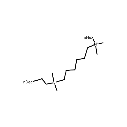 CCCCCCCCCCCC[N+](C)(C)CCCCCC[N+](C)(C)CCCCCC